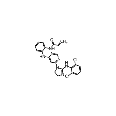 C=CC(=O)Nc1ccccc1Nc1cc(N2CCN=C2Nc2c(Cl)cccc2Cl)ncn1